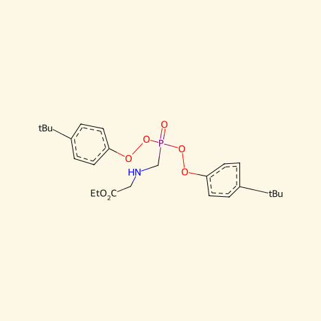 CCOC(=O)CNCP(=O)(OOc1ccc(C(C)(C)C)cc1)OOc1ccc(C(C)(C)C)cc1